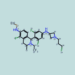 CCSNc1ccc2c(c1F)CC(C)N(CC(F)(F)F)C2c1c(F)cc(NC2CN(CCCF)C2)cc1F